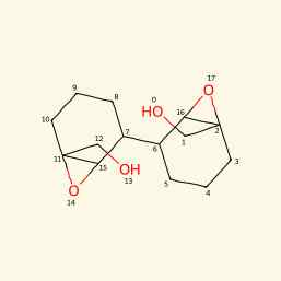 OCC12CCCC(C3CCCC4(CO)OC34)C1O2